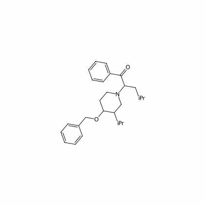 CC(C)CC(C(=O)c1ccccc1)N1CCC(OCc2ccccc2)C(C(C)C)C1